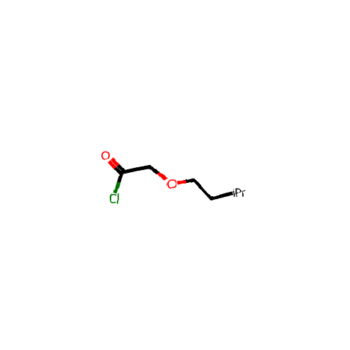 CC(C)CCOCC(=O)Cl